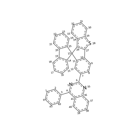 c1ccc(-c2nc(-c3ccc4c(c3)C3(c5ccccc5-c5ccccc53)c3c-4sc4ccccc34)nc3ccccc23)cc1